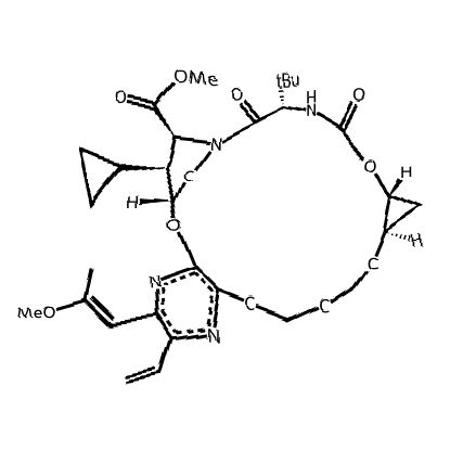 C=Cc1nc2c(nc1/C=C(\C)OC)O[C@H]1CN(C(=O)[C@H](C(C)(C)C)NC(=O)O[C@@H]3C[C@H]3CCCCC2)[C@H](C(=O)OC)[C@@H]1C1CC1